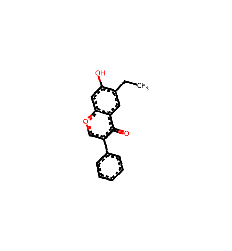 CCc1cc2c(=O)c(-c3ccccc3)coc2cc1O